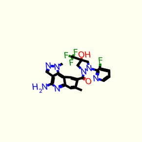 Cc1cc2nc(N)c3cnn(C)c3c2cc1C(=O)N1CC(O)(C(F)(F)F)CN1c1ncccc1F